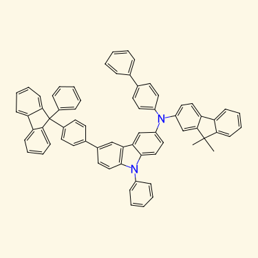 CC1(C)c2ccccc2-c2ccc(N(c3ccc(-c4ccccc4)cc3)c3ccc4c(c3)c3cc(-c5ccc(C6(c7ccccc7)c7ccccc7-c7ccccc76)cc5)ccc3n4-c3ccccc3)cc21